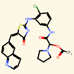 O=C1N=C(Nc2cc(NC(=O)C(OC(=O)C(F)(F)F)N3CCCC3)ccc2Cl)SC1=Cc1ccc2ncccc2c1